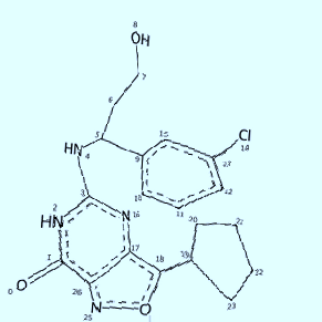 O=c1[nH]c(NC(CCO)c2cccc(Cl)c2)nc2c(C3CCCC3)onc12